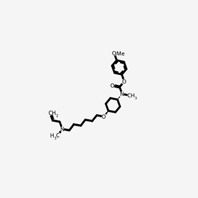 C=CCN(C)CCCCCCO[C@H]1CC[C@H](N(C)C(=O)Oc2ccc(OC)cc2)CC1